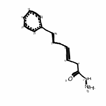 [NH]NC(=O)CC=CCCc1ccccc1